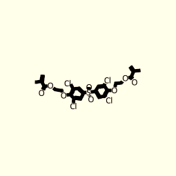 C=C(C)C(=O)OCCOc1c(Cl)cc(S(=O)(=O)c2cc(Cl)c(OCCOC(=O)C(=C)C)c(Cl)c2)cc1Cl